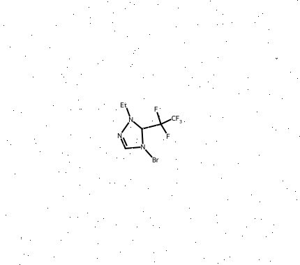 CCN1N=CN(Br)C1C(F)(F)C(F)(F)F